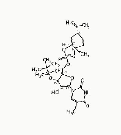 C=C(C)[C@@H]1CC[C@]2(C)S[P@@](=S)(OC[C@H]3O[C@@H](n4cc(C)c(=O)[nH]c4=O)[C@H](O)[C@@H]3O[Si](C)(C)C(C)(C)C)O[C@H]2C1